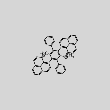 COc1c(-c2ccccc2)c(-c2ccc3cccc4c3c2C(=O)C=C4)c(C)c(-c2ccccc2)c1-c1ccc2cccc3c2c1C(=O)C=C3